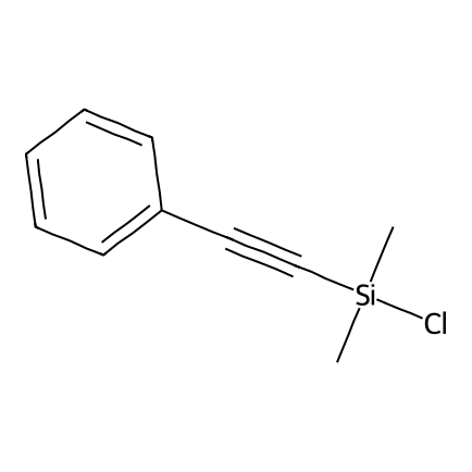 C[Si](C)(Cl)C#Cc1ccccc1